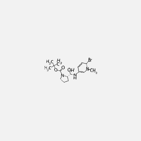 CN1C=C(NC(O)[C@@H]2CCCN2C(=O)OC(C)(C)C)C=CC1Br